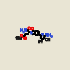 CC(C)c1cc(-c2ccc3c(c2)CN([C@@H](CCC(=O)OC(C)(C)C)C(N)=O)C3=O)nc(N)c1C#N